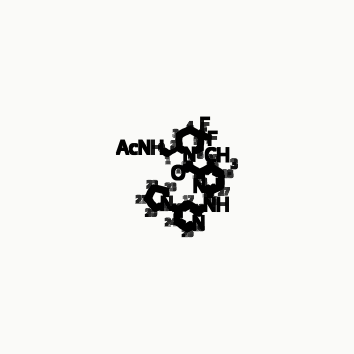 CC(=O)NC[C@H]1CCC(F)(F)CN1C(=O)c1nc(Nc2cc(N3CCCC3)ccn2)ccc1C